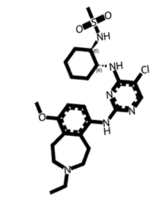 CCN1CCc2c(Nc3ncc(Cl)c(N[C@@H]4CCCC[C@H]4NS(C)(=O)=O)n3)ccc(OC)c2CC1